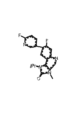 CC(C)n1c(=O)n(C)c2cnc3cc(F)c(-c4ccc(F)nc4)cc3c21